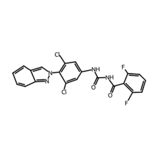 O=C(NC(=O)c1c(F)cccc1F)Nc1cc(Cl)c(-n2cc3ccccc3n2)c(Cl)c1